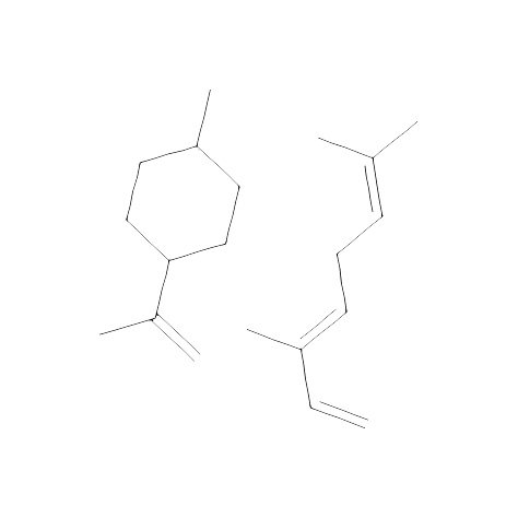 C=C(C)C1CC[C](C)CC1.C=CC(C)=CCC=C(C)C